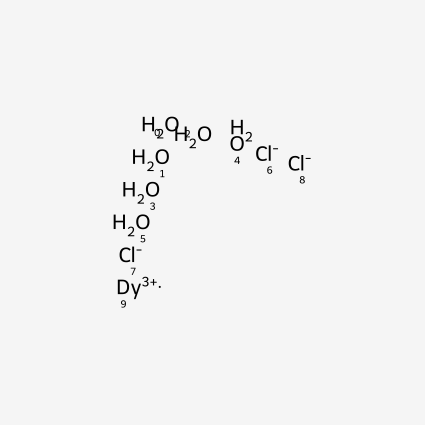 O.O.O.O.O.O.[Cl-].[Cl-].[Cl-].[Dy+3]